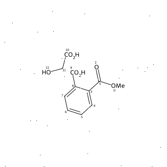 COC(=O)c1ccccc1C(=O)O.O=C(O)CO